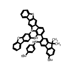 CC(C)(C)c1ccc(Nc2cc3c(cc2-c2ccc4c5cc6sc7ccccc7c6cc5n5c4c2Bc2cc4c(cc2-5)oc2ccccc24)C(C)(C)c2ccc(C(C)(C)C)cc2-3)cc1